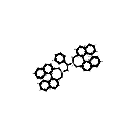 c1ccc([C@H](CN2Cc3ccc4ccccc4c3-c3c(ccc4ccccc34)C2)N2Cc3ccc4ccccc4c3-c3c(ccc4ccccc34)C2)cc1